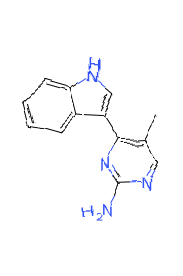 Cc1cnc(N)nc1-c1c[nH]c2ccccc12